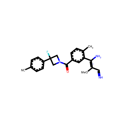 CO/C(C=N)=C(/N)c1cc(C(=O)N2CC(F)(c3ccc(C#N)cc3)C2)ccc1C